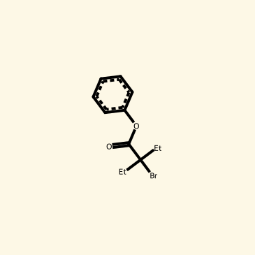 CCC(Br)(CC)C(=O)Oc1ccccc1